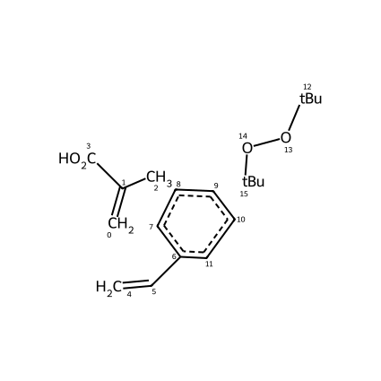 C=C(C)C(=O)O.C=Cc1ccccc1.CC(C)(C)OOC(C)(C)C